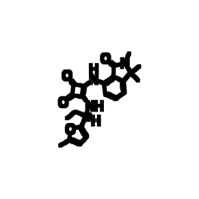 [2H][C@](CC)(Nc1c(Nc2cccc3c2C(=O)N(C)C3(C)C)c(=O)c1=O)c1ccc(C)o1